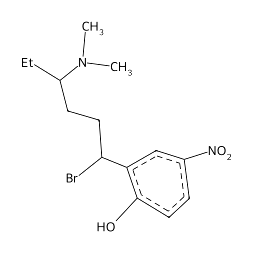 CCC(CCC(Br)c1cc([N+](=O)[O-])ccc1O)N(C)C